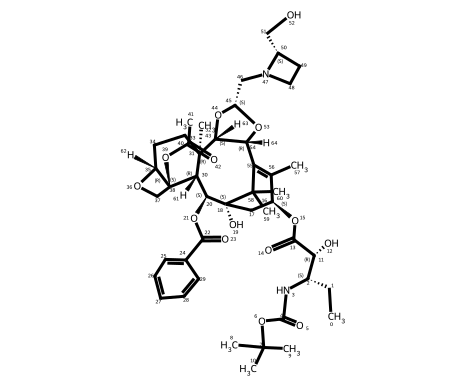 CC[C@H](NC(=O)OC(C)(C)C)[C@@H](O)C(=O)O[C@H]1C[C@@]2(O)[C@@H](OC(=O)c3ccccc3)[C@H]3[C@@](C)(CC[C@H]4OC[C@]43OC(C)=O)[C@@H]3O[C@H](CN4CC[C@H]4CO)O[C@@H]3C(=C1C)C2(C)C